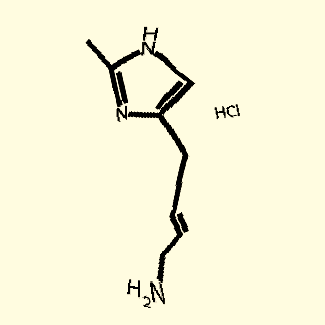 Cc1nc(CC=CN)c[nH]1.Cl